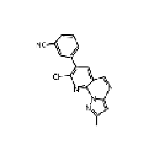 Cc1cc2ncc3cc(-c4cccc(C#N)c4)c(Cl)nc3n2n1